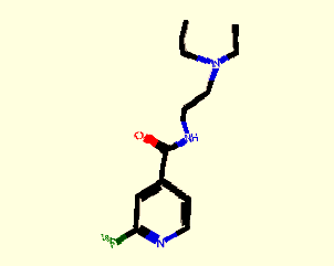 CCN(CC)CCNC(=O)c1ccnc([18F])c1